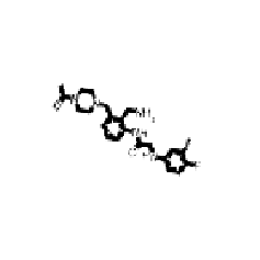 CC(=O)N1CCN(Cc2cccc(NC(=O)CNc3ccc(F)c(F)c3)c2CN)CC1